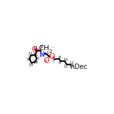 [CH2][C@H](N=CC(=O)OCCCCCCCCCCCCCCCC)C(=O)C1CCCCC1